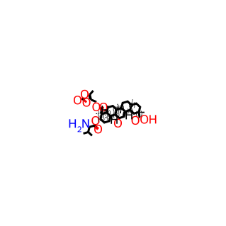 Cc1oc(=O)oc1COC(=O)[C@]1(C)[C@@H](OC(=O)C(N)C(C)C)CC[C@@]2(C)[C@H]1CC[C@]1(C)[C@@H]2C(=O)C=C2[C@@H]3C[C@@](C)(C(=O)O)CC[C@]3(C)CC[C@]21C